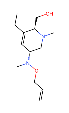 C=CCON(C)[C@@H]1C=C(CC)[C@@H](CO)N(C)C1